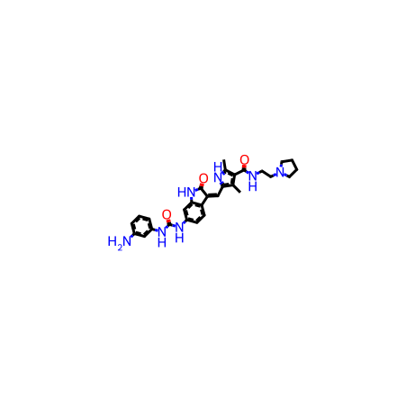 Cc1[nH]c(/C=C2\C(=O)Nc3cc(NC(=O)Nc4cccc(N)c4)ccc32)c(C)c1C(=O)NCCN1CCCC1